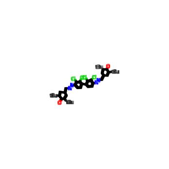 CC(C)(C)C1=CC(=C/N=N/c2ccc(-c3ccc(/N=N/C=C4C=C(C(C)(C)C)C(=O)C(C(C)(C)C)=C4)c(Cl)c3Cl)c(Cl)c2Cl)C=C(C(C)(C)C)C1=O